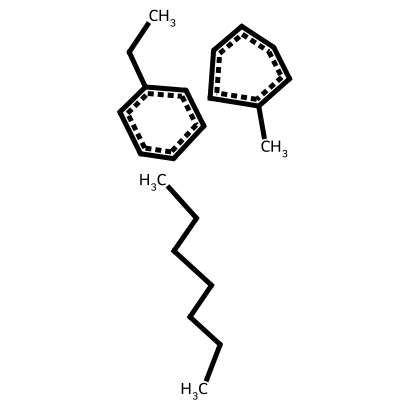 CCCCCCC.CCc1ccccc1.Cc1ccccc1